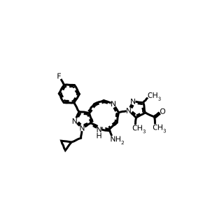 CC(=O)c1c(C)nn(-c2cc(N)[nH]c3c(ccn2)c(-c2ccc(F)cc2)nn3CC2CC2)c1C